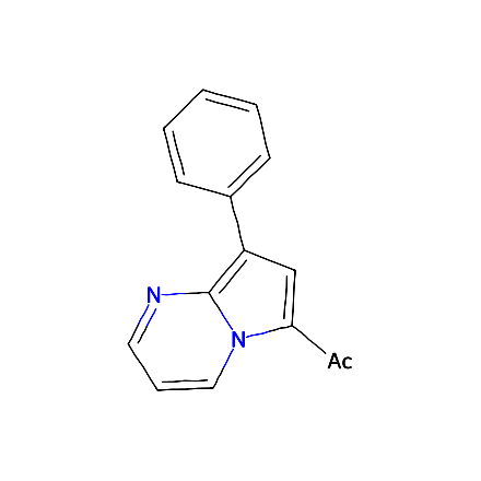 CC(=O)c1cc(-c2ccccc2)c2ncccn12